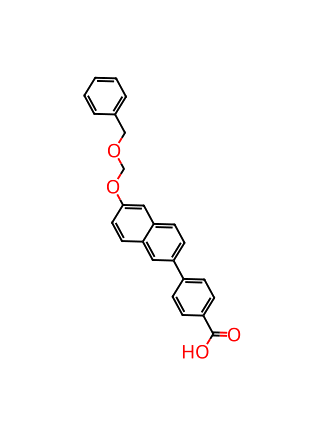 O=C(O)c1ccc(-c2ccc3cc(OCOCc4ccccc4)ccc3c2)cc1